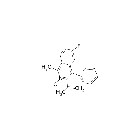 C=C(C)c1c(-c2ccccc2)c2cc(F)ccc2c(C)[n+]1[O-]